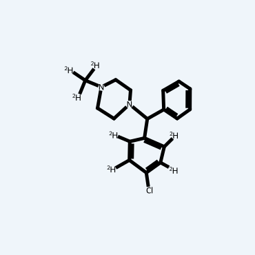 [2H]c1c([2H])c(C(c2ccccc2)N2CCN(C([2H])([2H])[2H])CC2)c([2H])c([2H])c1Cl